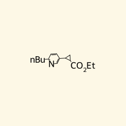 CCCCc1ccc(C2CC2C(=O)OCC)cn1